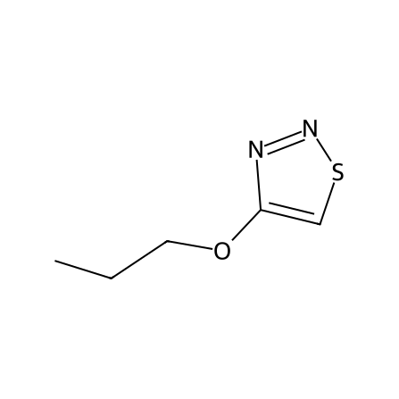 CCCOc1csnn1